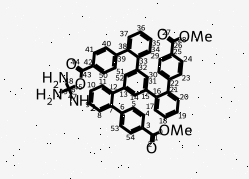 COC(=O)c1ccc(-c2ccccc2-c2cc(-c3ccccc3-c3ccc(C(=O)OC)cc3)cc(-c3ccccc3-c3ccc(C(=O)OC(N)(N)N)cc3)c2)cc1